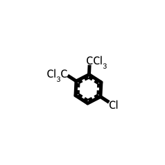 Clc1ccc(C(Cl)(Cl)Cl)c(C(Cl)(Cl)Cl)c1